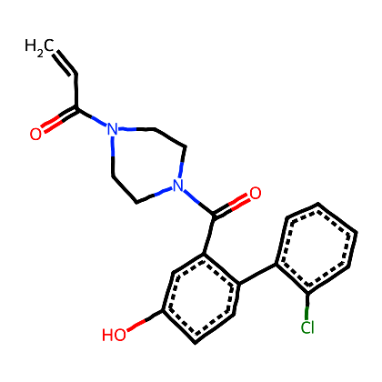 C=CC(=O)N1CCN(C(=O)c2cc(O)ccc2-c2ccccc2Cl)CC1